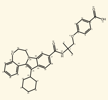 CC(C)(COc1ccc(C(=O)O)cc1)NC(=O)c1ccc2c(C3CCCCC3)c3n(c2c1)CCOc1ccccc1-3